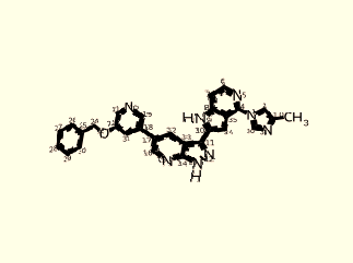 Cc1cn(-c2nccc3[nH]c(-c4n[nH]c5ncc(-c6cncc(OCc7ccccc7)c6)cc45)cc23)cn1